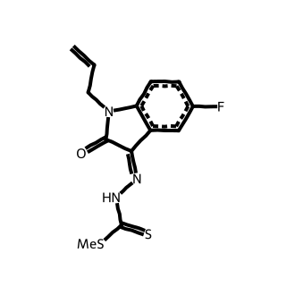 C=CCN1C(=O)C(=NNC(=S)SC)c2cc(F)ccc21